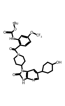 CC(C)(C)OC(=O)Nc1cc(OC(F)(F)F)ccc1C(=O)N1CCC(n2c(=O)[nH]c3ncc(C4CCC(O)CC4)cc32)CC1